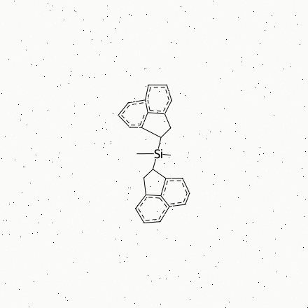 C[Si](C)(C1Cc2cccc3cccc1c23)C1Cc2cccc3cccc1c23